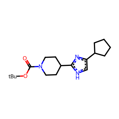 CC(C)(C)OC(=O)N1CCC(c2nc(C3CCCC3)c[nH]2)CC1